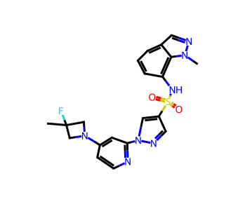 Cn1ncc2cccc(NS(=O)(=O)c3cnn(-c4cc(N5CC(C)(F)C5)ccn4)c3)c21